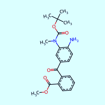 COC(=O)c1ccccc1C(=O)c1ccc(N)c(N(C)C(=O)OC(C)(C)C)c1